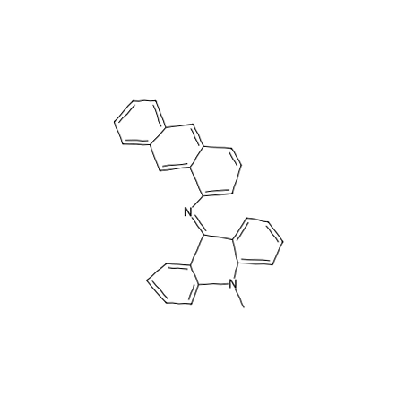 Cn1c2ccccc2c(=Nc2cccc3cc4ccccc4cc23)c2ccccc21